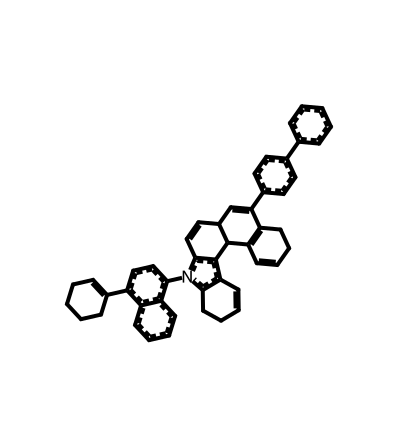 C1=CC2=C(CC1)C(c1ccc(-c3ccccc3)cc1)=CC1C=Cc3c(c4c(n3-c3ccc(C5=CCCCC5)c5ccccc35)CCC=C4)C21